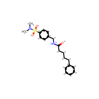 CN(C)S(=O)(=O)c1ccc(CNC(=O)CCCCc2ccccc2)cc1